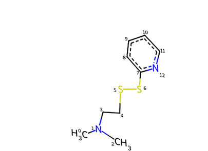 CN(C)CCSSc1ccccn1